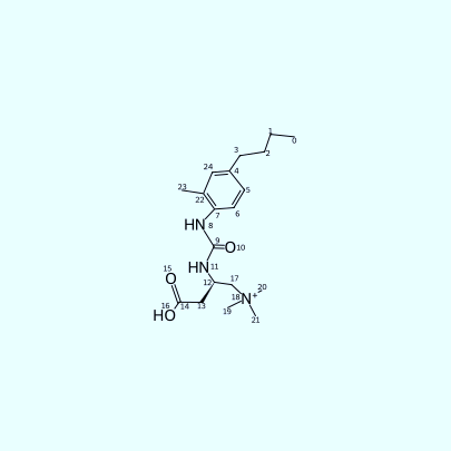 CCCCc1ccc(NC(=O)N[C@H](CC(=O)O)C[N+](C)(C)C)c(C)c1